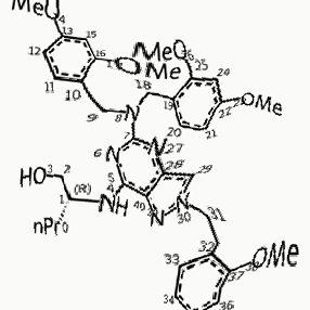 CCC[C@H](CO)Nc1nc(N(Cc2ccc(OC)cc2OC)Cc2ccc(OC)cc2OC)nc2cn(Cc3ccccc3OC)nc12